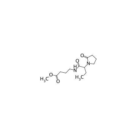 CCC(C(=O)NCCCC(=O)OC)N1CCCC1=O